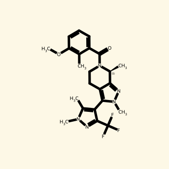 COc1cccc(C(=O)N2CCc3c(nn(C)c3-c3c(C(F)(F)F)nn(C)c3C)[C@@H]2C)c1C